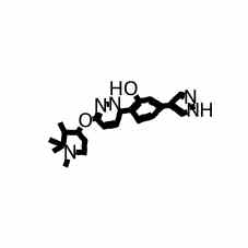 CC1C(Oc2ccc(-c3ccc(-c4cn[nH]c4)cc3O)nn2)CCN(C)C1(C)C